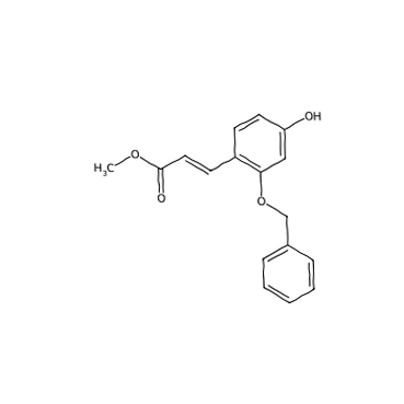 COC(=O)C=Cc1ccc(O)cc1OCc1ccccc1